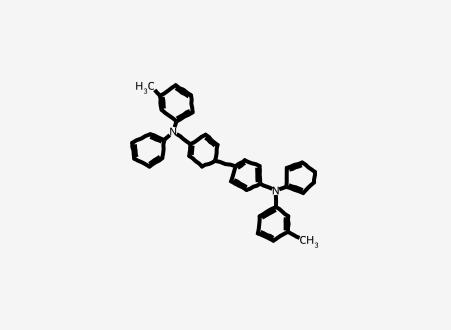 Cc1cccc(N(C2=CCC(c3ccc(N(C4=CCCC=C4)c4cccc(C)c4)cc3)C=C2)c2ccccc2)c1